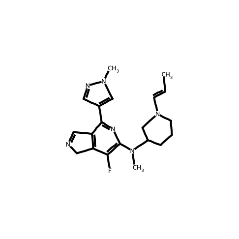 CC=CN1CCCC(N(C)c2nc(-c3cnn(C)c3)c3c(c2F)CN=C3)C1